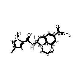 CCn1nc(C)cc1C(=O)NC1Nc2cc(C(N)=O)cc3c2N1CCO3